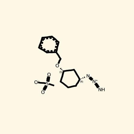 CS(=O)(=O)[O-].N=[N+]=N[C@@H]1CCC[C@H](OCc2ccccc2)C1